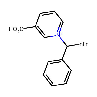 CCCC(c1ccccc1)[n+]1cccc(C(=O)O)c1